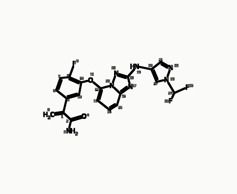 C=C(C(N)=O)c1ccc(F)c(Oc2cccc3nc(Nc4cnn(C(F)F)c4)nn23)c1